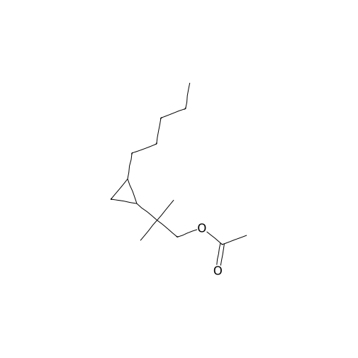 CCCCCC1CC1C(C)(C)COC(C)=O